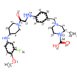 COc1ccc(NC2CCN(C(=O)CNc3ccc(CN4CCN(C(=O)O)[C@@H](C)C4)cc3)CC2)cc1F